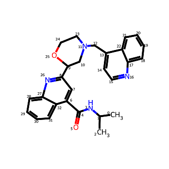 CC(C)NC(=O)c1cc(C2CN(Cc3ccnc4ccccc34)CCO2)nc2ccccc12